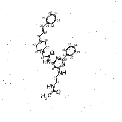 CC(=O)NCCNc1cc(NC(=O)CN2CCN(CC=Cc3ccccc3)CC2)nc(-c2ccccc2)n1